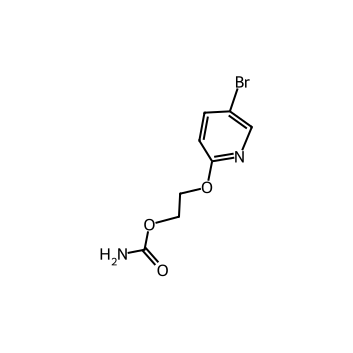 NC(=O)OCCOc1ccc(Br)cn1